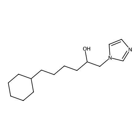 OC(CCCCC1CCCCC1)Cn1ccnc1